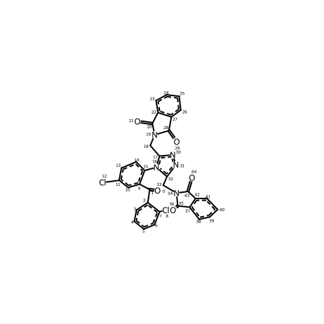 O=C(c1ccccc1Cl)c1cc(Cl)ccc1-n1c(CN2C(=O)c3ccccc3C2=O)nnc1CN1C(=O)c2ccccc2C1=O